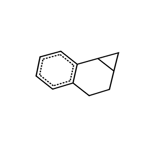 c1ccc2c(c1)CCC1CC21